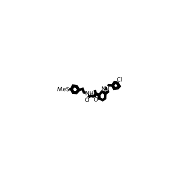 CSc1ccc(CCNC(=O)c2oc3c(c2C)-c2nn(Cc4cccc(Cl)c4)cc2CC3)cc1